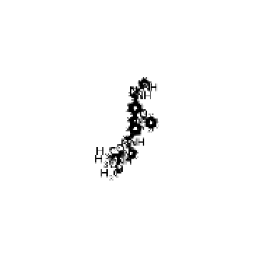 COC(=O)N[C@H](C(=O)N1CCC[C@H]1c1ncc(-c2ccc3c(c2)cc2n3[C@H](c3ccccc3)Oc3cc(-c4cnc([C@@H]5CCCN5)[nH]4)ccc3-2)[nH]1)C(C)C